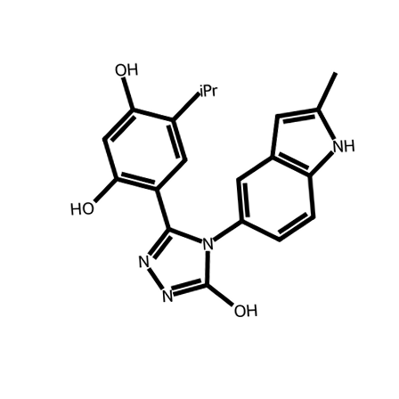 Cc1cc2cc(-n3c(O)nnc3-c3cc(C(C)C)c(O)cc3O)ccc2[nH]1